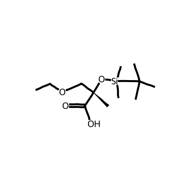 CCOC[C@](C)(O[Si](C)(C)C(C)(C)C)C(=O)O